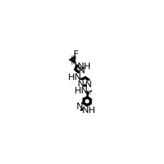 C[C@H](Nc1nccc(Nc2cc([C@H]3C[C@@H]3F)[nH]n2)n1)c1ccc2[nH]cnc2c1